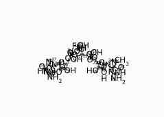 CO[C@@H]1[C@H](O)[C@@H](COP(=O)(O)OCC(COP(=O)(O)OC[C@H]2O[C@@H](N3CN(C)c4c3nc(N)[nH]c4=O)[C@H](O)[C@@H]2O)O[PH](O)(O)F)O[C@H]1n1cnc2c(=O)[nH]c(N)nc21